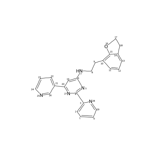 c1ccc(-c2nc(NCCc3cccc4c3OCC4)cc(-c3cccnc3)n2)nc1